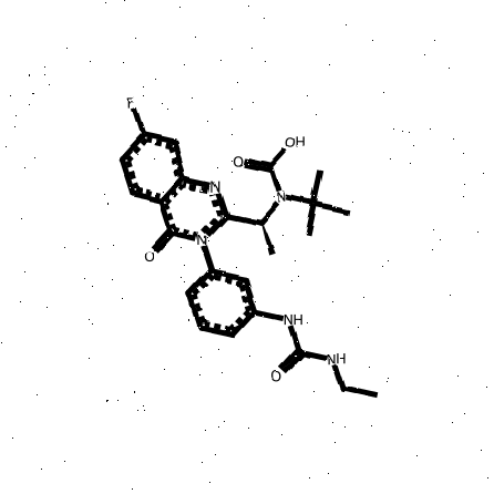 CCNC(=O)Nc1cccc(-n2c([C@H](C)N(C(=O)O)C(C)(C)C)nc3cc(F)ccc3c2=O)c1